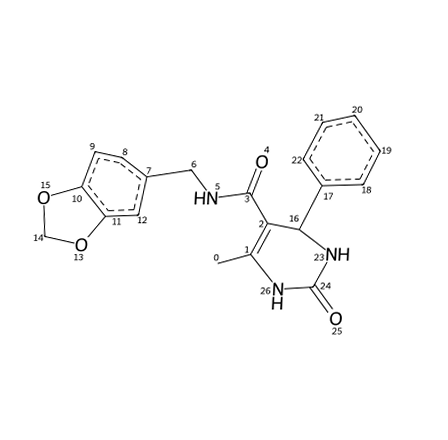 CC1=C(C(=O)NCc2ccc3c(c2)OCO3)C(c2ccccc2)NC(=O)N1